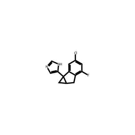 Fc1cc(Cl)cc2c1CC1CC21c1cnc[nH]1